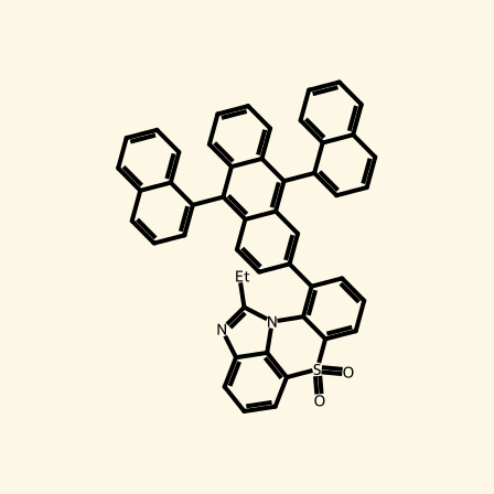 CCc1nc2cccc3c2n1-c1c(-c2ccc4c(-c5cccc6ccccc56)c5ccccc5c(-c5cccc6ccccc56)c4c2)cccc1S3(=O)=O